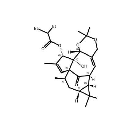 CCC(CC)C(=O)O[C@H]1C(C)=C[C@]23C(=O)[C@@H](C=C4COC(C)(C)O[C@H]4[C@]12O)[C@H]1[C@@H](C[C@H]3C)C1(C)C